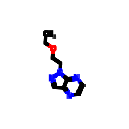 CCOCCn1ncc2nc[c]nc21